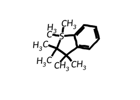 CC1(C)c2ccccc2S(C)(C)C1(C)C